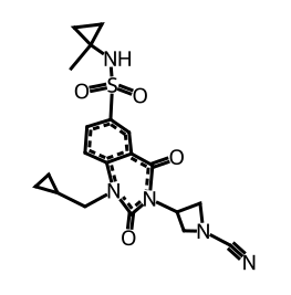 CC1(NS(=O)(=O)c2ccc3c(c2)c(=O)n(C2CN(C#N)C2)c(=O)n3CC2CC2)CC1